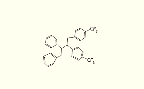 FC(F)(F)c1ccc(CC(c2ccc(C(F)(F)F)cc2)C(Cc2ccccc2)c2ccccc2)cc1